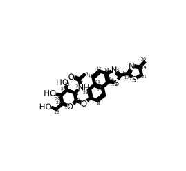 CC(=O)NC1C(Oc2ccc3c(ccc4nc(C5=NC(C)CS5)sc43)c2)OC(CO)C(O)C1O